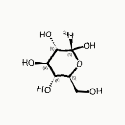 [2H][C@@]1(O)O[C@@H](CO)[C@H](O)[C@@H](O)[C@@H]1O